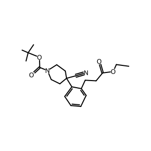 CCOC(=O)CCc1ccccc1C1(C#N)CCN(C(=O)OC(C)(C)C)CC1